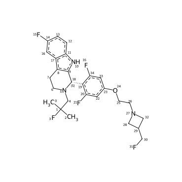 CC(C)(F)CN1CCc2c([nH]c3ccc(F)cc23)[C@@H]1c1c(F)cc(OCCN2CC(CF)C2)cc1F